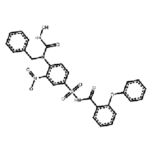 O=C(NS(=O)(=O)c1ccc(N(Cc2ccccc2)C(=O)NO)c([N+](=O)[O-])c1)c1ccccc1Oc1ccccc1